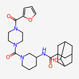 O=C(c1ccco1)N1CCN(C(=O)N2CCCC(NC(=O)C34CC5CC(C3)C(O)C(C5)C4)C2)CC1